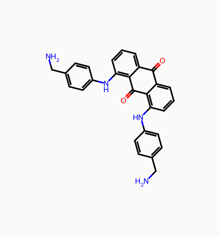 NCc1ccc(Nc2cccc3c2C(=O)c2c(Nc4ccc(CN)cc4)cccc2C3=O)cc1